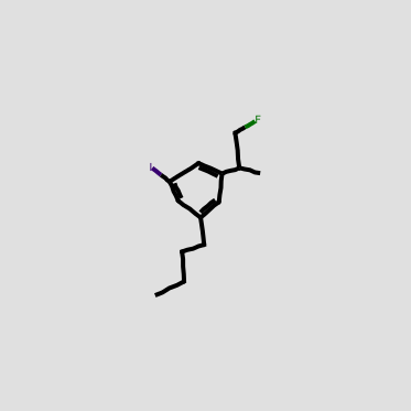 CCCCc1cc(I)cc([C](C)CF)c1